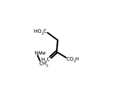 C=C(CC(=O)O)C(=O)O.CNC